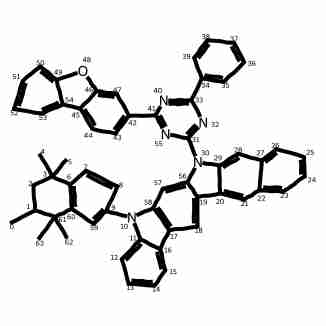 CC1CC(C)(C)c2ccc(-n3c4ccccc4c4cc5c6cc7ccccc7cc6n(-c6nc(-c7ccccc7)nc(-c7ccc8c(c7)oc7ccccc78)n6)c5cc43)cc2C1(C)C